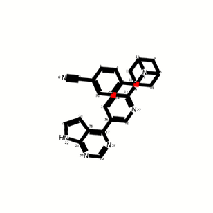 N#Cc1ccc(CN2C3CC2CN(c2ccc(-c4ncnc5[nH]ccc45)cn2)C3)cc1